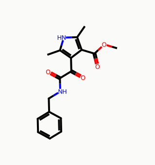 COC(=O)c1c(C)[nH]c(C)c1C(=O)C(=O)NCc1ccccc1